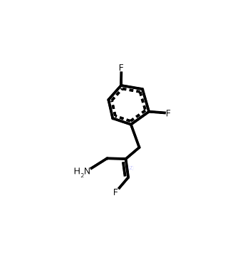 NC/C(=C\F)Cc1ccc(F)cc1F